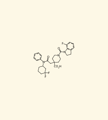 O=C(N1CCC(CC(=O)N(c2ccccc2)C2CCCC(F)(F)C2)(C(=O)O)CC1)N1CCc2cccc(F)c21